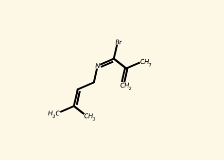 C=C(C)/C(Br)=N\CC=C(C)C